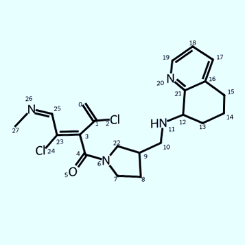 C=C(Cl)/C(C(=O)N1CCC(CNC2CCCc3cccnc32)C1)=C(Cl)\C=N/C